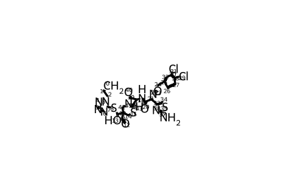 C=CCn1nnnc1SCC1(C(=O)O)CS[C@@H]2C(NC(=O)C(=NOCc3ccc(Cl)c(Cl)c3)c3csc(N)n3)C(=O)N2C1